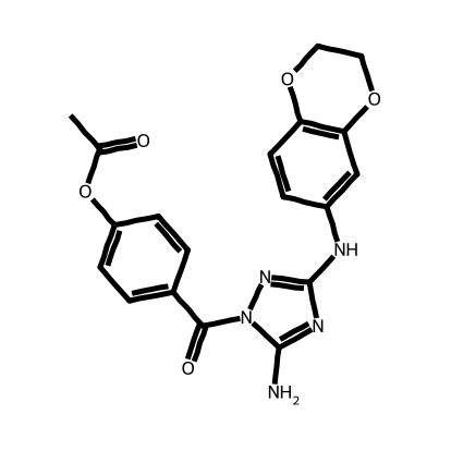 CC(=O)Oc1ccc(C(=O)n2nc(Nc3ccc4c(c3)OCCO4)nc2N)cc1